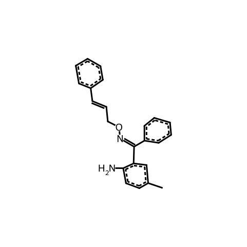 Cc1ccc(N)c(/C(=N/OC/C=C/c2ccccc2)c2ccccc2)c1